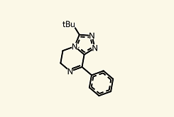 CC(C)(C)c1nnc2n1CCN=C2c1ccccc1